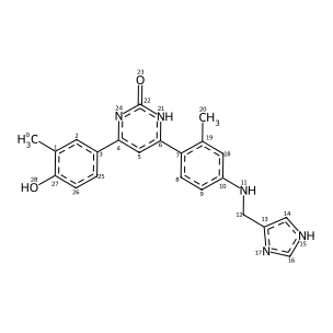 Cc1cc(-c2cc(-c3ccc(NCc4c[nH]cn4)cc3C)[nH]c(=O)n2)ccc1O